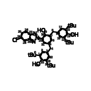 CC(C)(C)c1cc(Cc2cc(Cc3cc(C(C)(C)C)c(O)c(C(C)(C)C)c3)c(O)c(-n3nc4ccc(Cl)cc4n3)c2)cc(C(C)(C)C)c1O